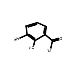 CCCc1cccc(C(=O)CC)c1O